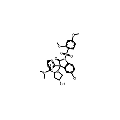 COc1ccc(S(=O)(=O)N2C(=O)C(c3nccs3)(N3C[C@H](O)C[C@H]3C(=O)N(C)C)c3cc(Cl)ccc32)c(OC)c1